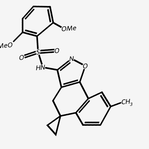 COc1cccc(OC)c1S(=O)(=O)Nc1noc2c1CC1(CC1)c1ccc(C)cc1-2